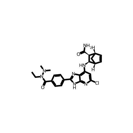 CCN(C(=O)c1ccc(-c2nc3c(N[C@H]4[C@@H](C(N)=O)[C@@H]5C=C[C@H]4C5)cc(Cl)nc3[nH]2)cc1)N(C)C